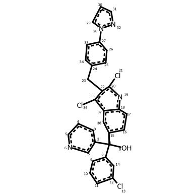 OC(c1cccnc1)(c1cccc(Cl)c1)c1ccc2nc(Cl)c(Cc3ccc(-n4cccn4)cc3)c(Cl)c2c1